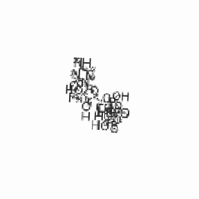 C[C@@H](OP(=O)(O)OP(=O)(O)OP(=O)(O)O)[C@H]1O[C@@H](n2ncc(N)nc2=O)[C@@](O)(CF)C1O